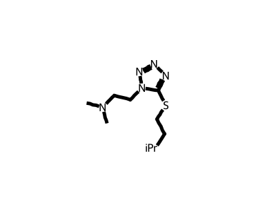 CC(C)CCSc1nnnn1CCN(C)C